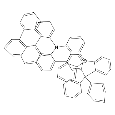 c1ccc(-c2cccc3cccc(-c4ccccc4N(c4ccccc4-c4ccc5c(c4)C(c4ccccc4)(c4ccccc4)c4ccccc4-5)c4cccc5oc6ccccc6c45)c23)cc1